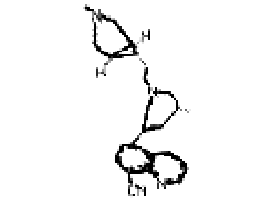 C[C@@H]1C[C@@H](c2ccc(C#N)c3ncccc23)CN(CC[C@@H]2[C@H]3CN(C)C[C@@H]23)C1